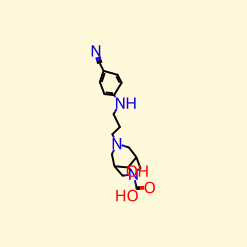 N#Cc1ccc(NCCCN2CC3CN(C(=O)O)CC(C2)C3O)cc1